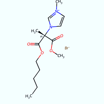 CCCCCOC(=O)[C@@](C)(C(=O)OC)n1cc[n+](C)c1.[Br-]